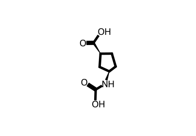 O=C(O)N[C@@H]1CC[C@H](C(=O)O)C1